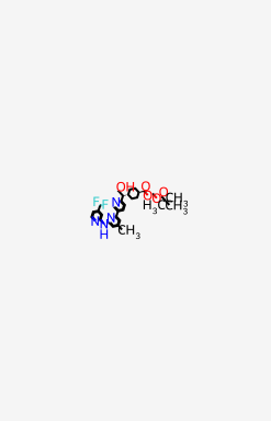 Cc1cc(Nc2cc(C(F)F)ccn2)nc(-c2ccc(C(CO)[C@H]3CC[C@H](C(=O)OCOC(=O)C(C)(C)C)CC3)nc2)c1